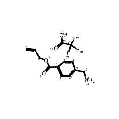 C=CCOC(=O)c1ccc(CN)cc1.O=C(O)C(F)(F)F